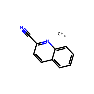 C.N#Cc1ccc2ccccc2n1